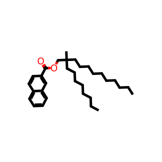 CCCCCCCCCCC(C)(CCCCCCCC)COC(=O)c1ccc2ccccc2c1